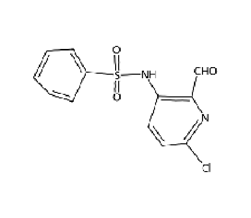 O=Cc1nc(Cl)ccc1NS(=O)(=O)c1ccccc1